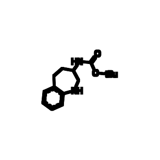 CC(C)(C)OC(=O)NC1CCc2ccccc2NC1